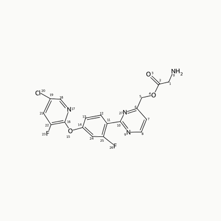 NCC(=O)OCc1ccnc(-c2ccc(Oc3ncc(Cl)cc3F)cc2F)n1